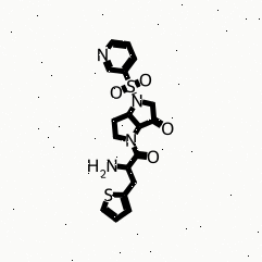 NC(Cc1cccs1)C(=O)N1CCC2C1C(=O)CN2S(=O)(=O)c1cccnc1